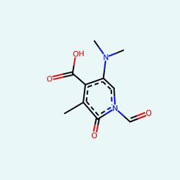 Cc1c(C(=O)O)c(N(C)C)cn(C=O)c1=O